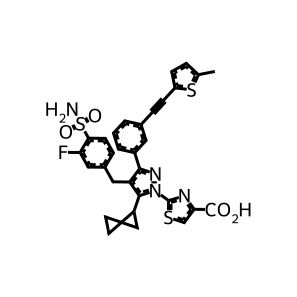 Cc1ccc(C#Cc2cccc(-c3nn(-c4nc(C(=O)O)cs4)c(C4CC45CC5)c3Cc3ccc(S(N)(=O)=O)c(F)c3)c2)s1